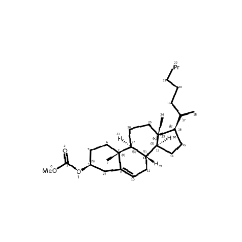 COC(=O)O[C@H]1CC[C@@]2(C)C(=CC[C@H]3[C@@H]4CC[C@H](C(C)CCCC(C)C)[C@@]4(C)CC[C@@H]32)C1